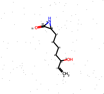 C=CC(O)CCCCC1NC1=O